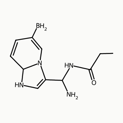 BC1=CN2C(C(N)NC(=O)CC)=CNC2C=C1